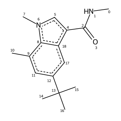 CNC(=O)c1cn(C)c2c(C)cc(C(C)(C)C)cc12